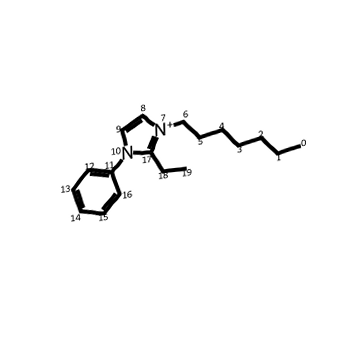 CCCCCCC[n+]1ccn(-c2ccccc2)c1CC